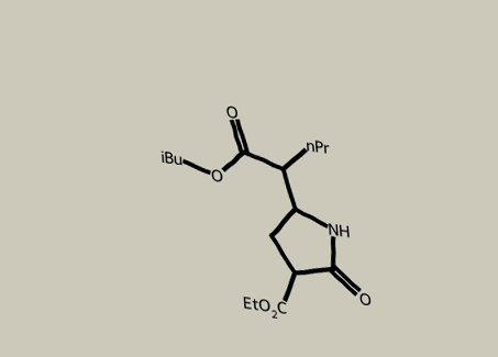 CCCC(C(=O)OC(C)CC)C1CC(C(=O)OCC)C(=O)N1